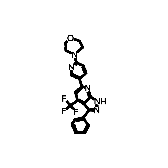 FC(F)(F)c1cc(-c2ccc(N3CCOCC3)nc2)nc2[nH]nc(-c3ccccc3)c12